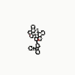 c1ccc(-n2c3ccccc3c3ccc(-c4ccc(C5(c6ccccc6)c6c(c7ccccc7c7ccccc67)Sc6c5c5ccccc5c5ccccc65)cc4)cc32)cc1